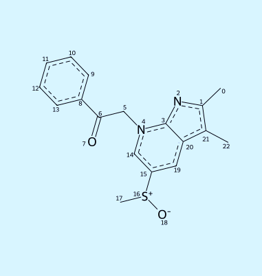 Cc1nc2n(CC(=O)c3ccccc3)cc([S+](C)[O-])cc-2c1C